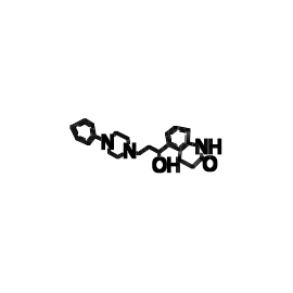 O=C1CCc2c(cccc2C(O)CCN2CCN(c3ccccc3)CC2)N1